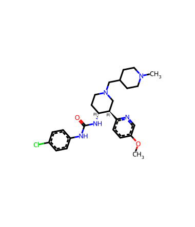 COc1ccc([C@@H]2CN(CC3CCN(C)CC3)CC[C@H]2NC(=O)Nc2ccc(Cl)cc2)nc1